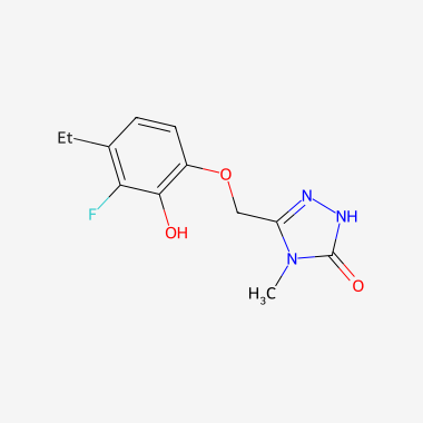 CCc1ccc(OCc2n[nH]c(=O)n2C)c(O)c1F